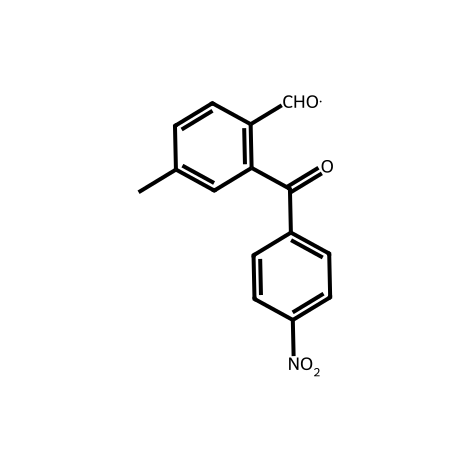 Cc1ccc([C]=O)c(C(=O)c2ccc([N+](=O)[O-])cc2)c1